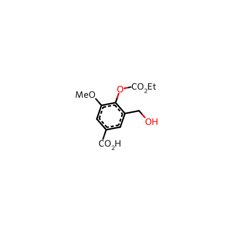 CCOC(=O)Oc1c(CO)cc(C(=O)O)cc1OC